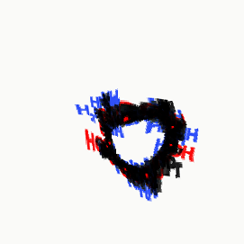 CCCC[C@H]1C(=O)N(C)[C@@H](CCCC)C(=O)N[C@@H](CCCNC(=N)N)C(=O)NC(C(=O)NCC(N)=O)CSCC(=O)N[C@@H](Cc2ccc(O)cc2)C(=O)N(C)[C@@H](C)C(=O)N[C@@H](CC(N)=O)C(=O)N[C@]2(C[C@@H]2CC)C(=O)NC(Cc2cnc[nH]2)C(=O)N[C@@H](CC(C)C)C(=O)N2C[C@H](O)C[C@H]2C(=O)NC([C@H]2C=CNc3ccccc32)C(=O)N[C@@H](CO)C(=O)N[C@@H](Cc2c[nH]c3ccccc23)C(=O)N1C